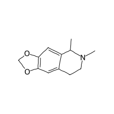 CC1c2cc3c(cc2CCN1C)OCO3